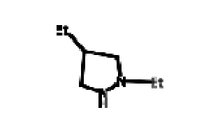 CCC1CNN(CC)C1